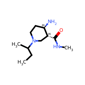 CCC(C)N1CC[C@@H](N)[C@H](C(=O)NC)C1